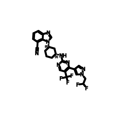 N#Cc1cccc2ncn([C@H]3CCC[C@@H](Nc4ncc(C(F)(F)F)c(-c5cnn(CC(F)F)c5)n4)C3)c12